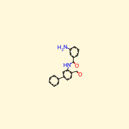 Nc1cccc(C(=O)Nc2cc(-c3ccccc3)ccc2C=O)c1